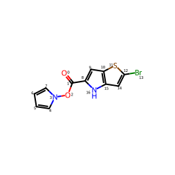 O=C(On1cccc1)c1cc2sc(Br)cc2[nH]1